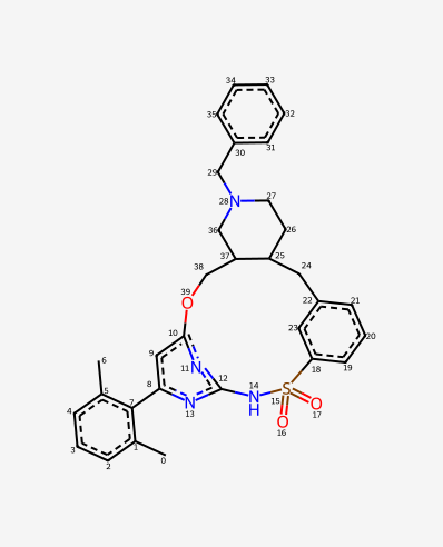 Cc1cccc(C)c1-c1cc2nc(n1)NS(=O)(=O)c1cccc(c1)CC1CCN(Cc3ccccc3)CC1CO2